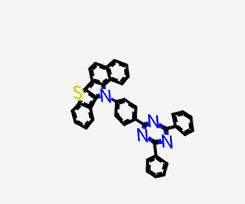 c1ccc(-c2nc(-c3ccccc3)nc(-c3ccc(-n4c5c6ccccc6ccc5c5sc6ccccc6c54)cc3)n2)cc1